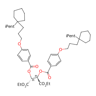 CCCC(C)C1(CCCOc2ccc(C(=O)O[C@@H](C(=O)OCC)[C@@H](OC(=O)c3ccc(OCCCC4(C(C)CCC)CCCCC4)cc3)C(=O)OCC)cc2)CCCCC1